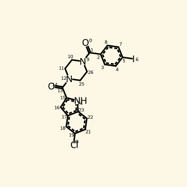 O=C(c1ccc(I)cc1)N1CCN(C(=O)c2cc3cc(Cl)ccc3[nH]2)CC1